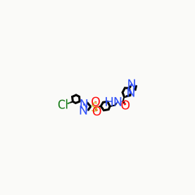 O=C(NCc1ccc(S(=O)(=O)c2cnn(-c3cccc(Cl)c3)c2)cc1)c1ccc2nccn2c1